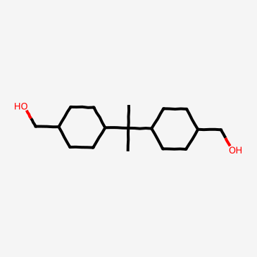 CC(C)(C1CCC(CO)CC1)C1CCC(CO)CC1